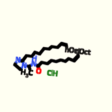 CCCCCCCC/C=C\CCCCCCCCC1=NCCN1C(C)NC(=O)CCCCCCC/C=C\CCCCCCCC.Cl